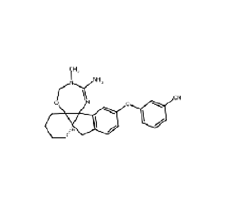 CN1COC23CCCC[C@]24Cc2ccc(Oc5cccc(C#N)c5)cc2C34N=C1N